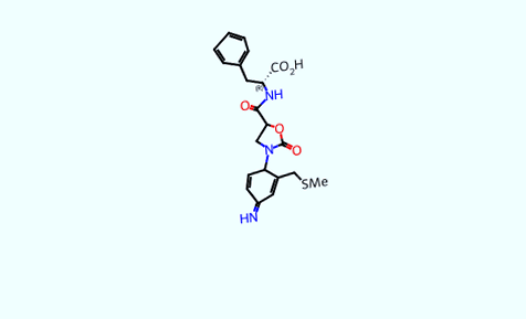 CSCC1=CC(=N)C=CC1N1CC(C(=O)N[C@H](Cc2ccccc2)C(=O)O)OC1=O